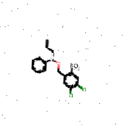 C=CC[SiH](OCc1cc(Cl)c(Cl)cc1[N+](=O)[O-])c1ccccc1